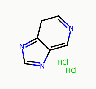 C1=NC=C2N=CN=C2C1.Cl.Cl